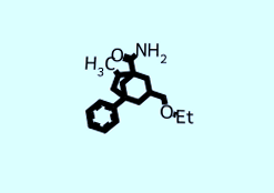 CCOCC1CC2(c3ccccc3)CC(C)C(C(N)=O)(C1)C2